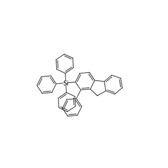 c1ccc(-c2c([Si](c3ccccc3)(c3ccccc3)c3ccccc3)ccc3c2Cc2ccccc2-3)cc1